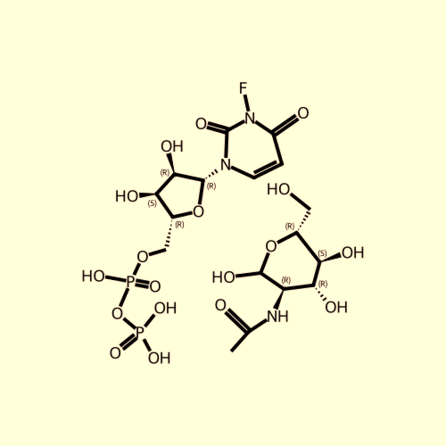 CC(=O)N[C@H]1C(O)O[C@H](CO)[C@@H](O)[C@@H]1O.O=c1ccn([C@@H]2O[C@H](COP(=O)(O)OP(=O)(O)O)[C@@H](O)[C@H]2O)c(=O)n1F